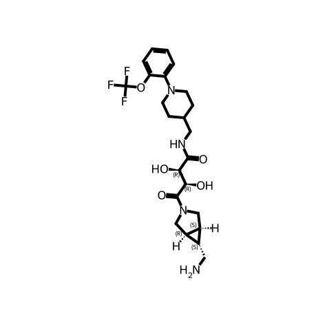 NC[C@@H]1[C@H]2CN(C(=O)[C@H](O)[C@@H](O)C(=O)NCC3CCN(c4ccccc4OC(F)(F)F)CC3)C[C@@H]12